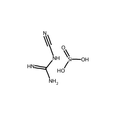 N#CNC(=N)N.O=[Si](O)O